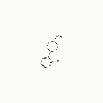 O=C(O)C1CCN(c2ccccc2Br)CC1